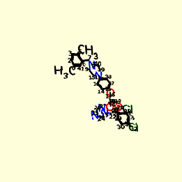 Cc1ccc(C)c(CN2CCN(c3ccc(OC[C@@H]4CO[C@@](Cn5cncn5)(c5ccc(Cl)cc5Cl)O4)cc3)CC2)c1